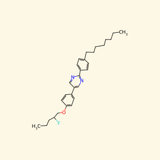 CCCCCCCCc1ccc(-c2ncc(-c3ccc(OCC(F)CCC)cc3)cn2)cc1